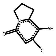 O=c1cc(Cl)c(S)c2n1CCC2